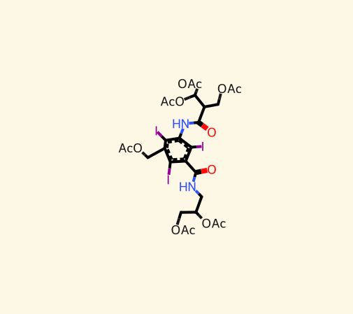 CC(=O)OCc1c(I)c(NC(=O)C(COC(C)=O)C(OC(C)=O)OC(C)=O)c(I)c(C(=O)NCC(COC(C)=O)OC(C)=O)c1I